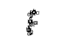 Cl.Cl.O=c1sc2ccc(Cl)cc2n1CCN1CCC(NCc2cc3c(cn2)OCCO3)CC1